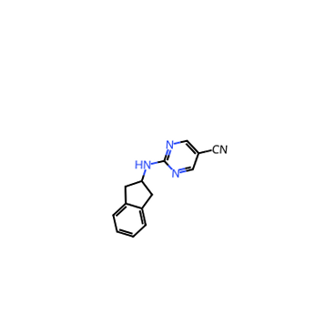 N#Cc1cnc(NC2Cc3ccccc3C2)nc1